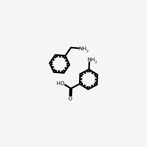 NCc1ccccc1.Nc1cccc(C(=O)O)c1